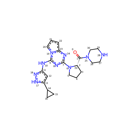 O=C([C@@H]1CCCN1c1nc(Nc2cc(C3CC3)[nH]n2)n2cccc2n1)N1CCNCC1